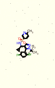 Cc1ccc(S(=O)(=O)N[C@@H](c2cnn(C(C)(C)C)c2-c2cc(F)ccc2Br)C2CC2)cn1